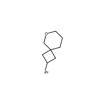 CC(C)C1CC2(CCCOC2)C1